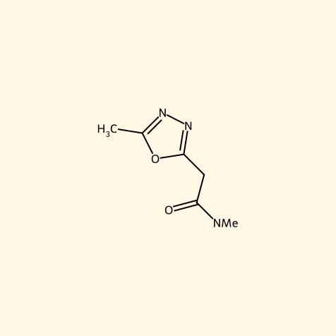 CNC(=O)Cc1nnc(C)o1